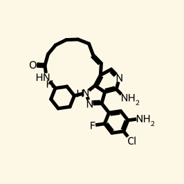 Nc1cc(-c2nn3c4c(cnc(N)c24)/C=C/CCCCCC(=O)N[C@@H]2CCC[C@@H]3C2)c(F)cc1Cl